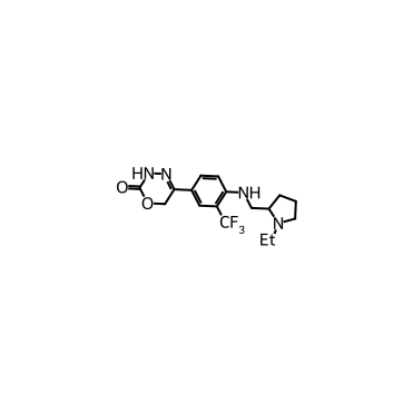 CCN1CCCC1CNc1ccc(C2=NNC(=O)OC2)cc1C(F)(F)F